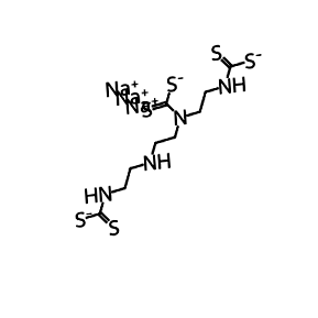 S=C([S-])NCCNCCN(CCNC(=S)[S-])C(=S)[S-].[Na+].[Na+].[Na+]